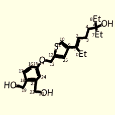 CCC(=CCCC(O)(CC)CC)c1csc(COc2ccc(CO)c(CO)c2)c1